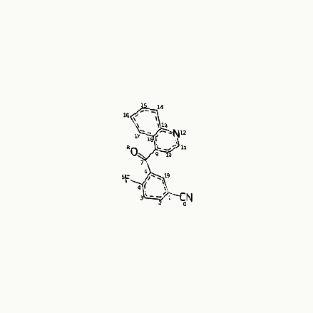 N#Cc1ccc(F)c(C(=O)c2ccnc3ccccc23)c1